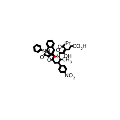 CC(C)C(=O)C(CCC(=O)O)=C(O)C(=O)N(Cc1ccc2ccccc2c1)C(C)C(Cc1ccc(C(=O)Nc2ccccc2)o1)c1ccc([N+](=O)[O-])cc1